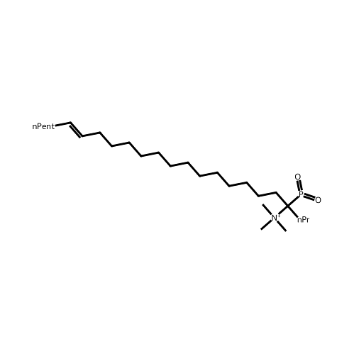 CCCCCC=CCCCCCCCCCCCCCC(CCC)(P(=O)=O)[N+](C)(C)C